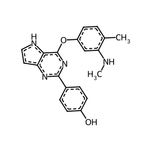 CNc1cc(Oc2nc(-c3ccc(O)cc3)nc3cc[nH]c23)ccc1C